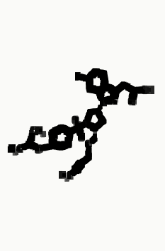 CC#CCOC[C@H]1C[C@@H](n2nc(CC(=O)O)c3ccc(F)cc32)CN1S(=O)(=O)c1ccc(OC(C)C)cc1